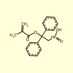 C=C(C)C(=O)OC(C[PH](=O)O)(c1ccccc1)c1ccccc1